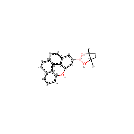 CC1(C)OB(c2cc3c4c(ccc5ccc6cccc(c6c54)O3)c2)OC1(C)C